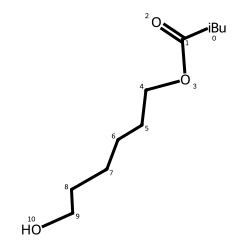 CCC(C)C(=O)OCCCCCCO